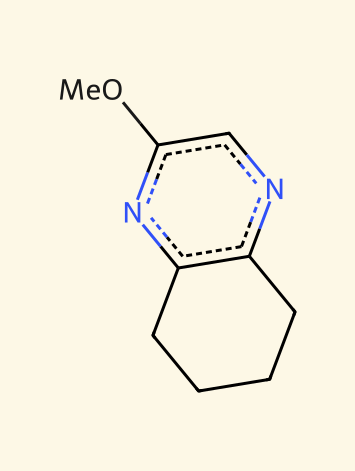 COc1cnc2c(n1)CCCC2